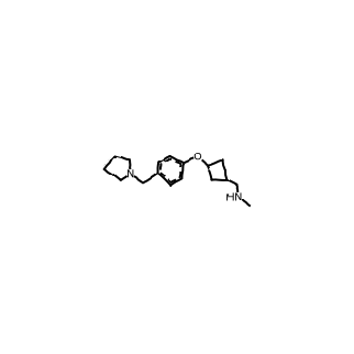 CNCC1CC(Oc2ccc(CN3CCCC3)cc2)C1